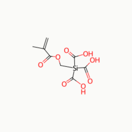 C=C(C)C(=O)OC[Si](C(=O)O)(C(=O)O)C(=O)O